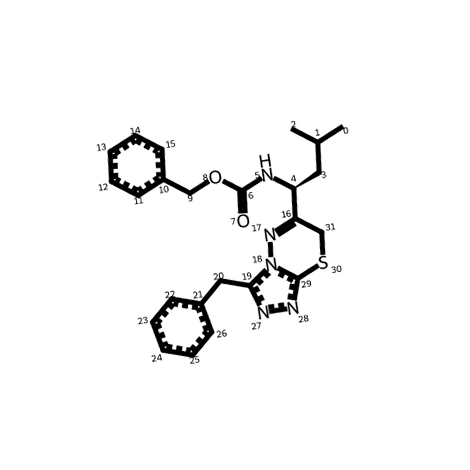 CC(C)C[C@H](NC(=O)OCc1ccccc1)C1=Nn2c(Cc3ccccc3)nnc2SC1